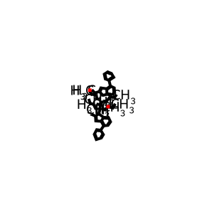 CCC[CH2][Hf]([CH2]CCC)([CH]1C(CC)=Cc2c(-c3ccccc3)cccc21)[C](C)(C)[Hf]([CH2]CCC)([CH2]CCC)[CH]1C(CC)=Cc2c(-c3ccccc3)cccc21